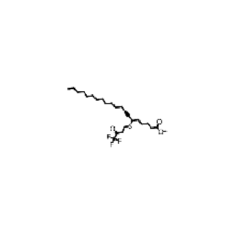 CCCCCCCCCCCCC#CC(CCCCC(=O)OC)SCCC(=O)C(F)(F)F